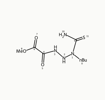 CCCCN(NNC(=O)C(=O)OC)C(N)=S